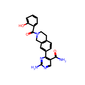 NC(=O)c1cnc(N)nc1-c1ccc2c(c1)CN(C(=O)c1ccccc1O)CC2